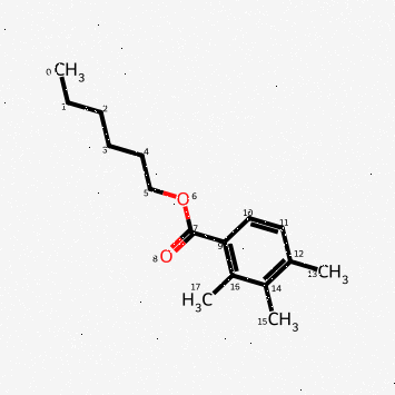 CCCCCCOC(=O)c1ccc(C)c(C)c1C